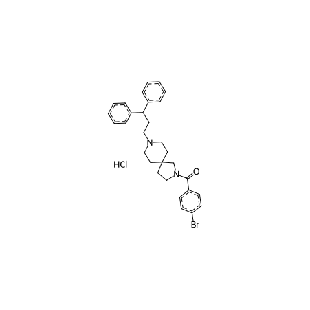 Cl.O=C(c1ccc(Br)cc1)N1CCC2(CCN(CCC(c3ccccc3)c3ccccc3)CC2)C1